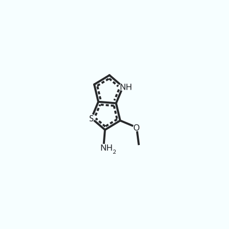 COc1c(N)sc2cc[nH]c12